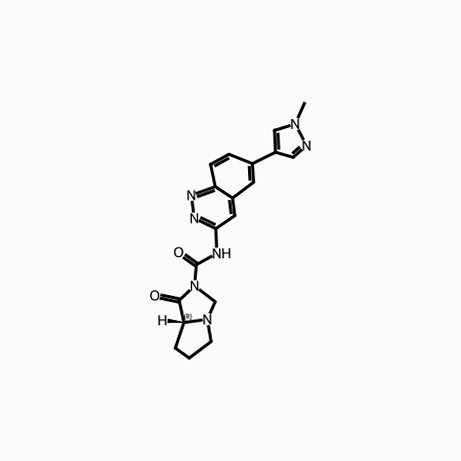 Cn1cc(-c2ccc3nnc(NC(=O)N4CN5CCC[C@@H]5C4=O)cc3c2)cn1